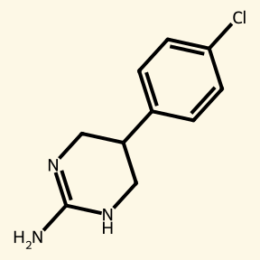 NC1=NCC(c2ccc(Cl)cc2)CN1